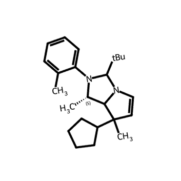 Cc1ccccc1N1C(C(C)(C)C)N2C=CC(C)(C3CCCC3)C2[C@@H]1C